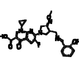 CO/N=C1\CN(c2nc3c(cc2F)c(=O)c(C(=O)O)cn3C2CC2)CC1CN=Cc1ccccc1O